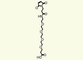 O=C(O)CCOCCOCCOCCOCCNC(=O)CCN1C(=O)C=CC1=O